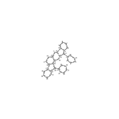 c1ccc(-n2c3ccccc3c3cc4ccc5c6ccccc6n(-c6ccccc6)c5c4cc32)cc1